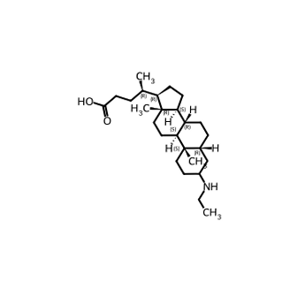 CCNC1CC[C@@]2(C)[C@H](CC[C@@H]3[C@@H]2CC[C@]2(C)[C@@H]([C@H](C)CCC(=O)O)CC[C@@H]32)C1